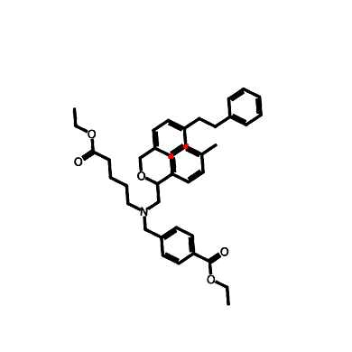 CCOC(=O)CCCCN(Cc1ccc(C(=O)OCC)cc1)CC(OCc1ccc(CCc2ccccc2)cc1)c1ccc(C)cc1